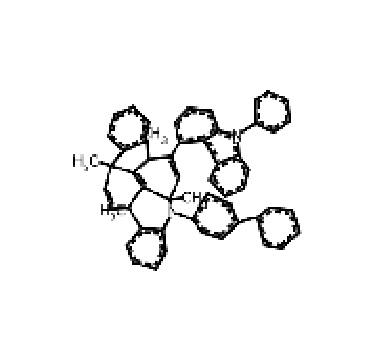 CC1C(c2cccc3c2c2ccccc2n3-c2ccccc2)=CC2(C)C3=C1C(C)(c1ccccc1)C=CC3(C)c1ccccc1N2c1ccc(-c2ccccc2)cc1